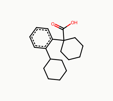 O=C(O)C1(c2ccccc2C2CCCCC2)CCCCC1